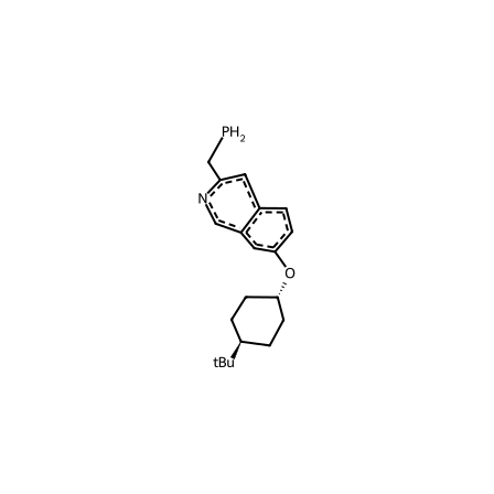 CC(C)(C)[C@H]1CC[C@H](Oc2ccc3cc(CP)ncc3c2)CC1